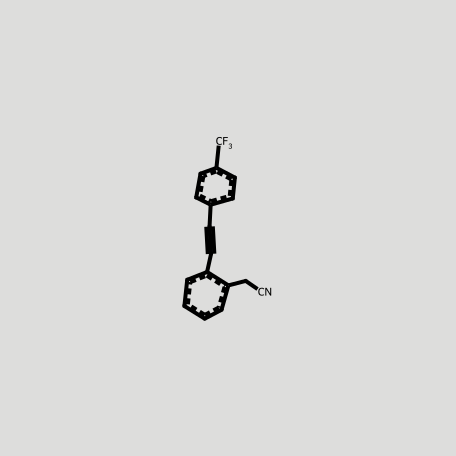 N#CCc1ccccc1C#Cc1ccc(C(F)(F)F)cc1